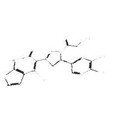 CCC(=O)N1N=C(c2c(C)c3ccsc3[nH]c2=O)CC1c1cnc(C)c(Cl)c1